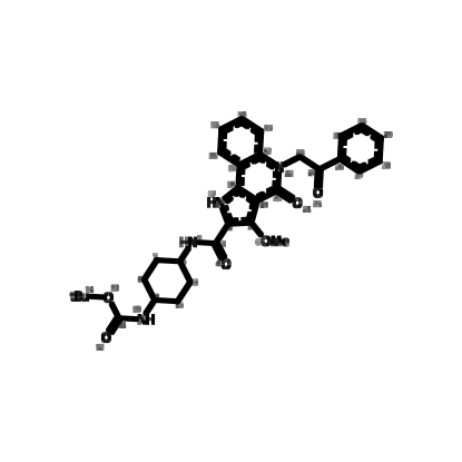 COc1c(C(=O)NC2CCC(NC(=O)OC(C)(C)C)CC2)[nH]c2c1c(=O)n(CC(=O)c1ccccc1)c1ccccc21